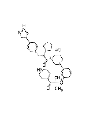 CC(C)(Oc1cccc(N2CCC[C@H](C(=O)N(Cc3ccc(-c4cn[nH]c4)cc3)C3CCCC3)C2)c1)C(=O)N1CCNCC1.Cl